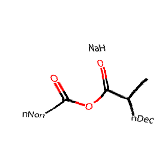 CCCCCCCCCCC(C)C(=O)OC(=O)CCCCCCCCC.[NaH]